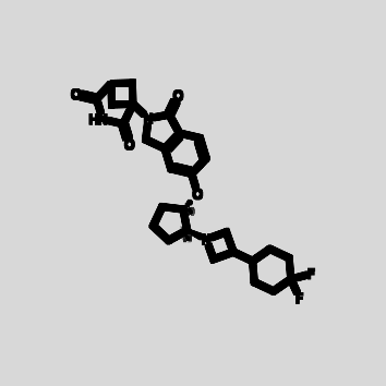 O=C1NC(=O)C2(N3Cc4cc(O[C@H]5CCC[C@@H]5N5CC(C6CCC(F)(F)CC6)C5)ccc4C3=O)CC1C2